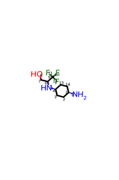 N[C@H]1CC[C@@H](NC(CO)C(F)(F)F)CC1